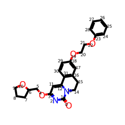 O=c1nc(OCC2CCCO2)cc2n1CCc1cc(OCCOc3ccccc3)ccc1-2